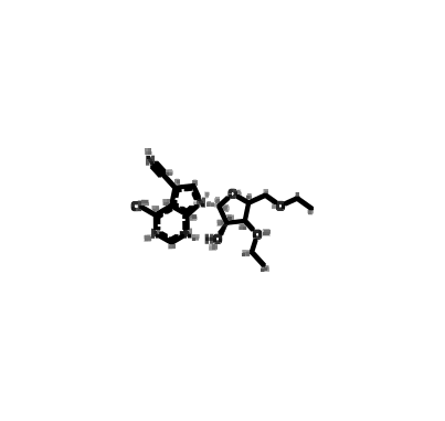 CCOCC1O[C@@H](n2cc(C#N)c3c(Cl)ncnc32)[C@H](O)C1OCC